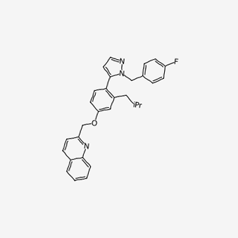 CC(C)Cc1cc(OCc2ccc3ccccc3n2)ccc1-c1ccnn1Cc1ccc(F)cc1